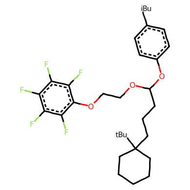 CCC(C)c1ccc(OC(CCCC2(C(C)(C)C)CCCCC2)OCCOc2c(F)c(F)c(F)c(F)c2F)cc1